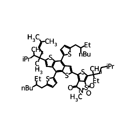 CCCCC(CC)Cc1ccc(-c2c3cc(C(C)(CC=C(C)C)C(C)C(C)C)sc3c(-c3ccc(CC(CC)CCCC)s3)c3cc(-c4sc(C(C)(CC)CCC(C)C)c5c4C(=O)N(C)S5(=O)=O)sc23)s1